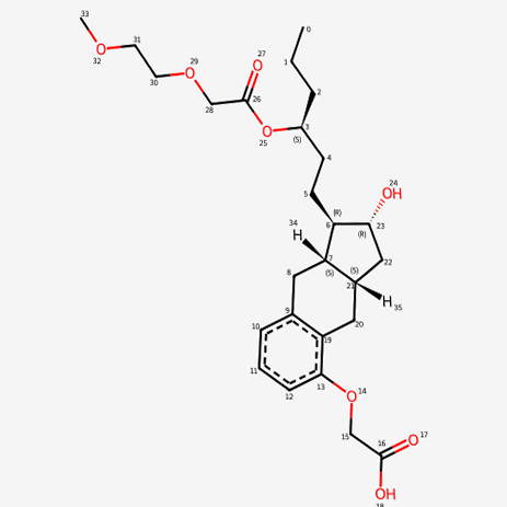 CCC[C@@H](CC[C@@H]1[C@H]2Cc3cccc(OCC(=O)O)c3C[C@H]2C[C@H]1O)OC(=O)COCCOC